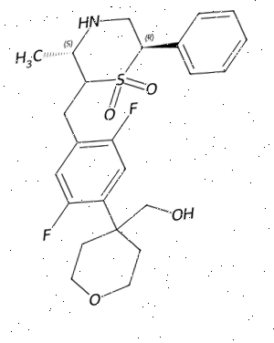 C[C@@H]1NC[C@@H](c2ccccc2)S(=O)(=O)C1Cc1cc(F)c(C2(CO)CCOCC2)cc1F